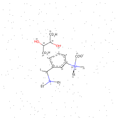 CCN(CC)C(C)c1cccc([N@+](C)(CC)C(=O)[O-])c1.O=C(O)C(O)C(O)C(=O)O